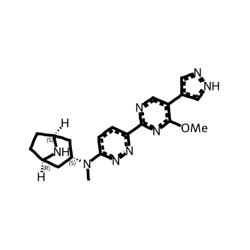 COc1nc(-c2ccc(N(C)[C@@H]3C[C@H]4CC[C@@H](C3)N4)nn2)ncc1-c1cn[nH]c1